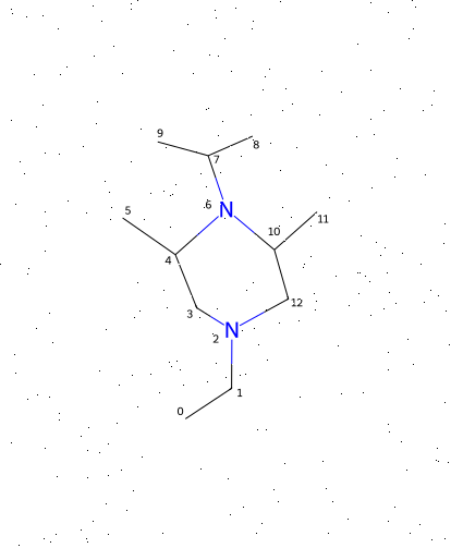 CCN1CC(C)N(C(C)C)C(C)C1